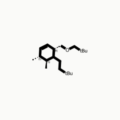 C[C@@H]1C=C[C@H](COCC(C)(C)C)C(CCC(C)(C)C)[C@H]1C